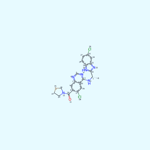 C[C@H](Nc1ncnc2cc(C(=O)N3CCSC3)c(Cl)cc12)c1nc2cc(Cl)ccc2[nH]1